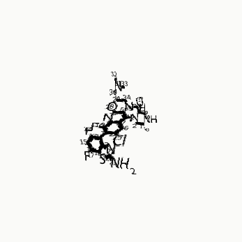 C[C@@H]1CN2c3c4c(nc5c(F)c(-c6c(F)cc(F)c7sc(N)nc67)c(Cl)cc35)O[C@H](CN(C)C)CN4C(=O)[C@H]2CN1